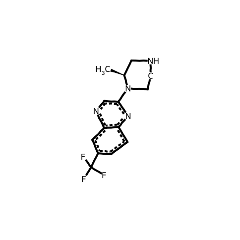 C[C@H]1CNCCN1c1cnc2cc(C(F)(F)F)ccc2n1